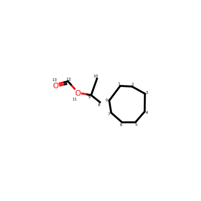 C1CCCCCCC1.CC(C)OC=O